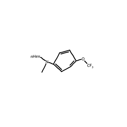 [CH2]CCCCCN(C)c1ccc(OC(F)(F)F)cc1